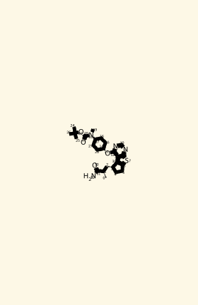 C[C@@H](C[C@H]1CCc2sc3ncnc(O[C@H]4CC[C@H](N(C)C(=O)OC(C)(C)C)CC4)c3c21)C(N)=O